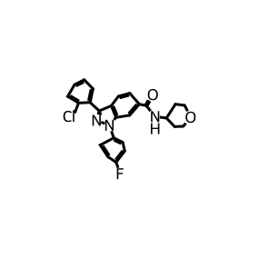 O=C(NC1CCOCC1)c1ccc2c(-c3ccccc3Cl)nn(-c3ccc(F)cc3)c2c1